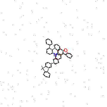 CC1(C)c2ccccc2-c2cc(-c3cccc(N(c4ccc5oc6ccccc6c5c4)c4cccc(-c5ccccc5)c4-c4ccccc4-c4ccccc4)c3)ccc21